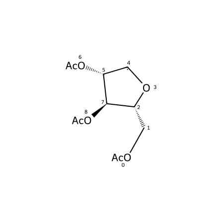 CC(=O)OC[C@H]1O[CH][C@@H](OC(C)=O)[C@@H]1OC(C)=O